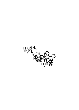 CCc1noc([C@@H](C(=O)Nc2ccc(-c3c(C)nn(COCC[Si](C)(C)C)c3C)c(Cl)n2)C(C2CCCCC2)C2CCCCC2)c1C(N)=O